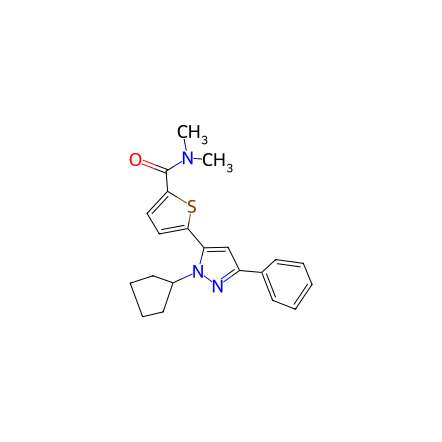 CN(C)C(=O)c1ccc(-c2cc(-c3ccccc3)nn2C2CCCC2)s1